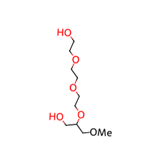 COCC(CO)OCCOCCOCCO